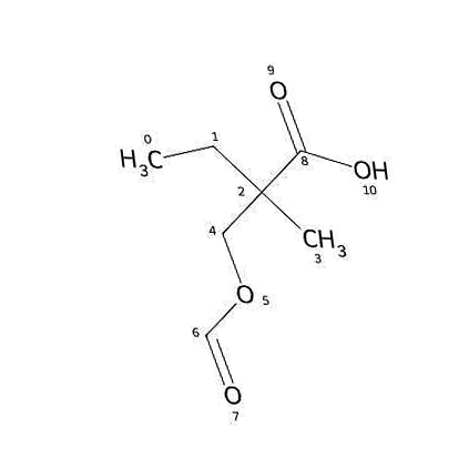 CCC(C)(COC=O)C(=O)O